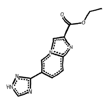 CCOC(=O)c1cn2cc(-c3nc[nH]n3)ccc2n1